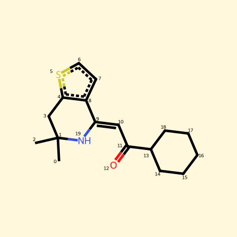 CC1(C)Cc2sccc2/C(=C/C(=O)C2CCCCC2)N1